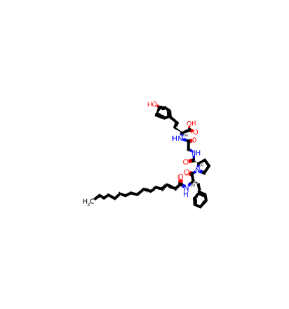 CCCCCCCCCCCCCCCC(=O)N[C@@H](Cc1ccccc1)C(=O)N1CCC[C@H]1C(=O)NCC(=O)N[C@@H](CCc1ccc(O)cc1)C(=O)O